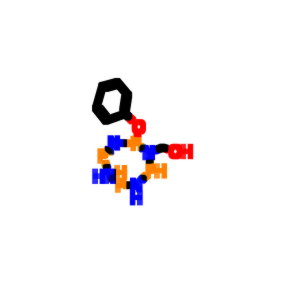 OCn1[pH][nH][pH][nH]pnp1Oc1ccccc1